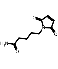 NC(=O)CCCCN1C(=O)C=CC1=O